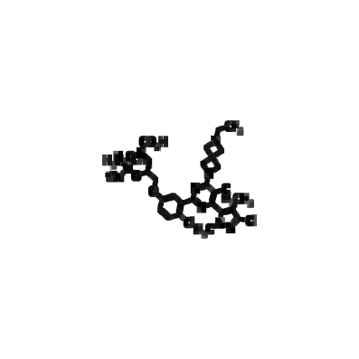 Cc1c(-c2c(C)c(Cl)nn2C)nc(-c2cc(OCC(CN(C)C(=O)O)O[Si](C)(C)C(C)(C)C)ccc2Cl)nc1N1CC2(CN(CC(F)(F)F)C2)C1